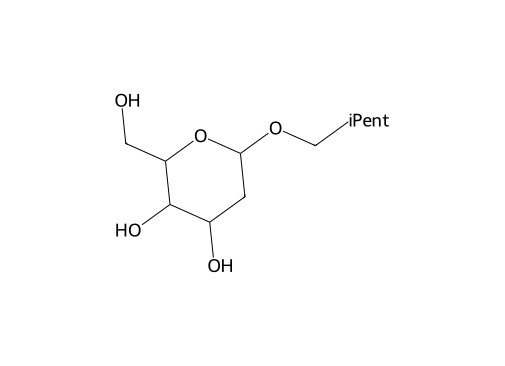 CCCC(C)COC1CC(O)C(O)C(CO)O1